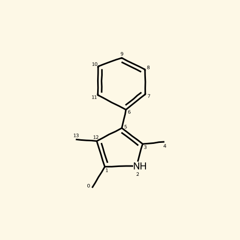 Cc1[nH]c(C)c(-c2ccccc2)c1C